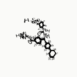 CS(=O)(=O)Cc1cccc(NC(=O)NC(c2ccc(C(=O)Nc3nn[nH]n3)cc2)c2ccc(C3CCCCC3)cc2)c1